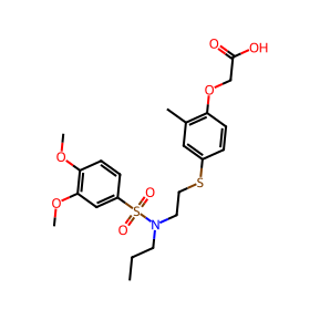 CCCN(CCSc1ccc(OCC(=O)O)c(C)c1)S(=O)(=O)c1ccc(OC)c(OC)c1